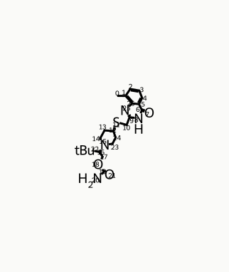 Cc1cccc2c(=O)[nH]c(CSC3CCN(C(COC(N)=O)C(C)(C)C)CC3)nc12